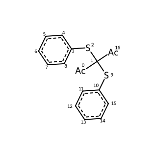 CC(=O)C(Sc1ccccc1)(Sc1ccccc1)C(C)=O